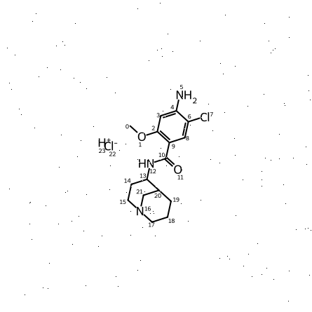 COc1cc(N)c(Cl)cc1C(=O)NC1CCN2CCCC1C2.[Cl-].[H+]